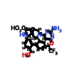 Nc1nc(O[C@H](c2ccc(-c3ccccc3CO)cc2)C(F)(F)F)cc(N2CCC3(CC2)CN[C@H](C(=O)O)C3)n1